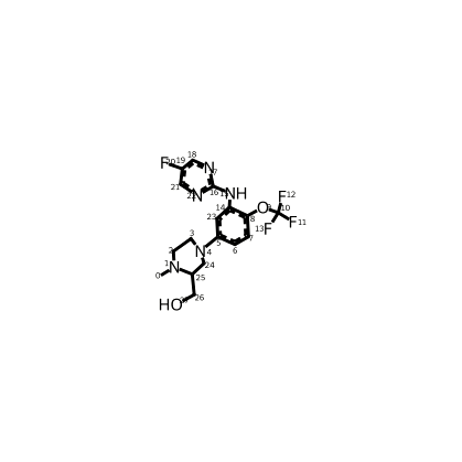 CN1CCN(c2ccc(OC(F)(F)F)c(Nc3ncc(F)cn3)c2)CC1CO